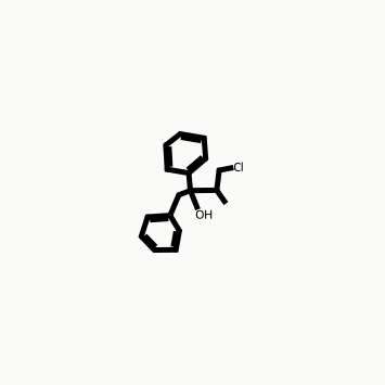 CC(CCl)C(O)(Cc1ccccc1)c1ccccc1